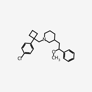 COC(CC1CCCN(CC2(c3ccc(Cl)cc3)CCC2)C1)c1ccccc1